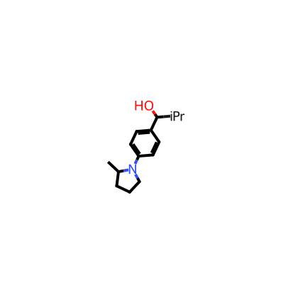 CC(C)C(O)c1ccc(N2CCCC2C)cc1